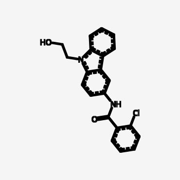 O=C(Nc1ccc2c(c1)c1ccccc1n2CCO)c1ccccc1Cl